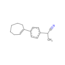 CC(C#N)c1ccc(C2=CCCCCC2)cc1